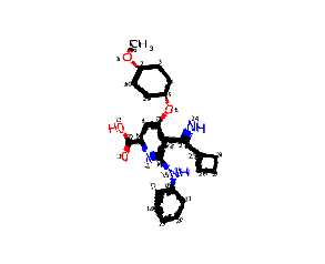 CO[C@H]1CC[C@@H](Oc2cc(C(=O)O)nc(Nc3ccccc3)c2C(=N)C2CCC2)CC1